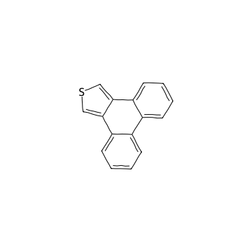 c1ccc2c(c1)c1ccccc1c1cscc21